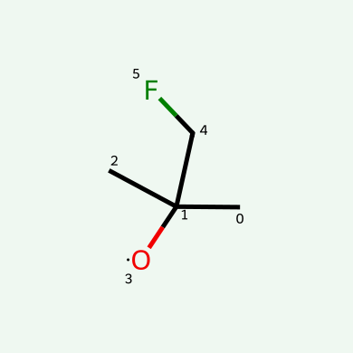 CC(C)([O])CF